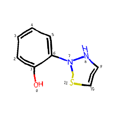 Oc1ccccc1N1NC=CS1